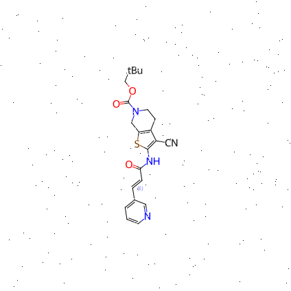 CC(C)(C)COC(=O)N1CCc2c(sc(NC(=O)/C=C/c3cccnc3)c2C#N)C1